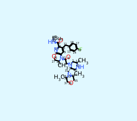 C[C@@H]1CN(CC(=O)N2c3cc(Cc4ccc(F)cc4)c(C(=O)NC(C)(C)C)nc3OC[C@@H]2C)[C@@H](CN2[C@H](C)COC[C@H]2C)CN1